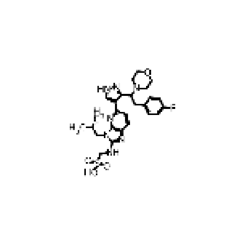 CC(C)Cn1c(NCS(=O)(=O)O)nc2ccc(-c3c[nH]nc3C(Cc3ccc(F)cc3)N3CCOCC3)nc21